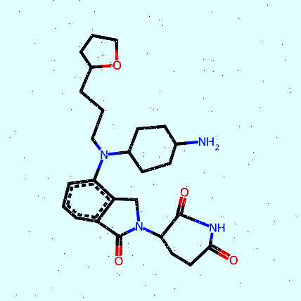 NC1CCC(N(CCCC2CCCO2)c2cccc3c2CN(C2CCC(=O)NC2=O)C3=O)CC1